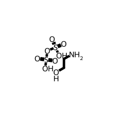 NCCO.O=S(=O)(O)OS(=O)(=O)O